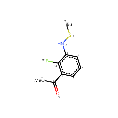 CCC(C)SNc1cccc(C(=O)OC)c1F